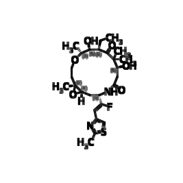 CC[C@H]1C(=O)C(C)(C)[C@@H](O)CC(=O)N[C@H](C(F)=Cc2csc(C)n2)C[C@@H]2O[C@]2(C)CCO[C@H](C)[C@H]1O